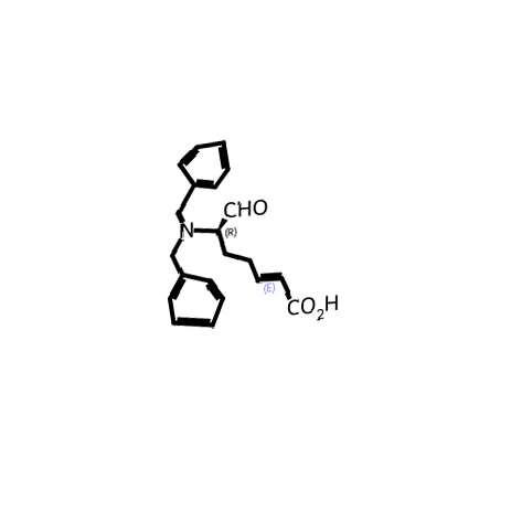 O=C[C@@H](CC/C=C/C(=O)O)N(Cc1ccccc1)Cc1ccccc1